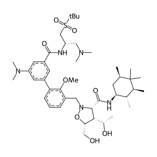 COc1c(CN2O[C@@H](CO)[C@@H]([C@H](C)O)[C@H]2C(=O)N[C@H]2C[C@@H](C)C(C)(C)[C@@H](C)[C@@H]2C)cccc1-c1cc(C(=O)N[C@@H](CN(C)C)CS(=O)(=O)C(C)(C)C)cc(N(C)C)c1